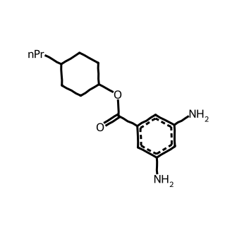 CCCC1CCC(OC(=O)c2cc(N)cc(N)c2)CC1